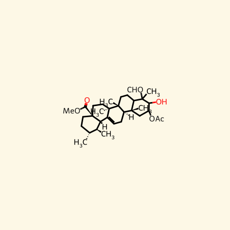 COC(=O)[C@]12CC[C@@H](C)[C@H](C)[C@H]1C1=CC[C@@H]3[C@@]4(C)CC(OC(C)=O)C(O)C(C)(C=O)C4CC[C@@]3(C)[C@]1(C)CC2